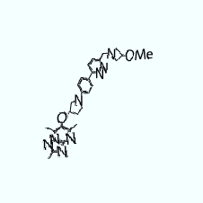 COC1CN(Cc2ccc(-c3ccc(N4CC[C@@H](Oc5c(C)nc6nc(C)nn6c5C)C4)cc3)nn2)C1